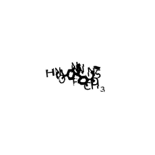 Cc1cc(F)c(-c2ncnc3cc(C4CNCCO4)ccc23)cc1C(=O)c1nccs1